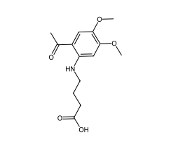 COc1cc(NCCCC(=O)O)c(C(C)=O)cc1OC